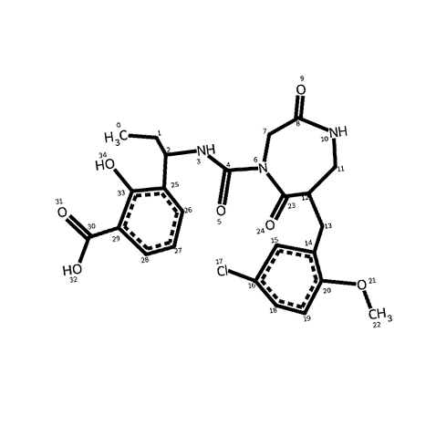 CCC(NC(=O)N1CC(=O)NCC(Cc2cc(Cl)ccc2OC)C1=O)c1cccc(C(=O)O)c1O